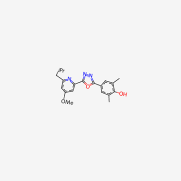 COc1cc(CC(C)C)nc(-c2nnc(-c3cc(C)c(O)c(C)c3)o2)c1